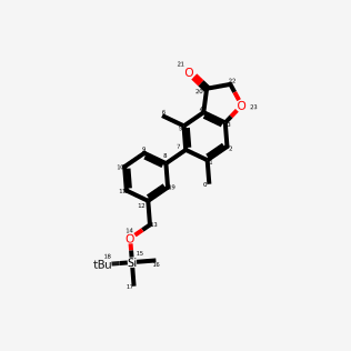 Cc1cc2c(c(C)c1-c1cccc(CO[Si](C)(C)C(C)(C)C)c1)C(=O)CO2